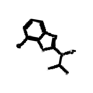 [O-][S+](c1nc2cccc(Cl)c2s1)C(F)F